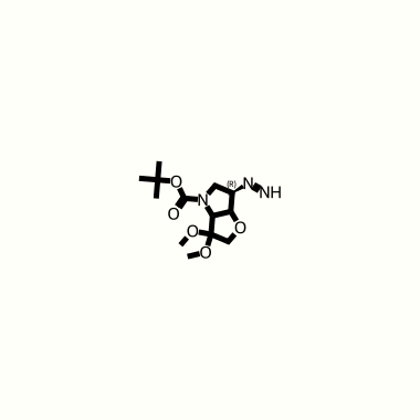 COC1(OC)COC2C1N(C(=O)OC(C)(C)C)C[C@H]2N=N